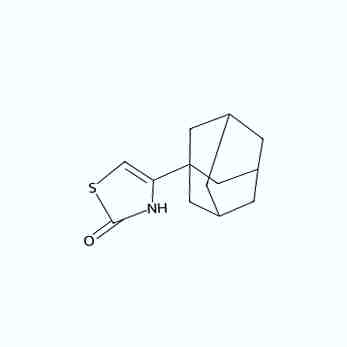 O=c1[nH]c(C23CC4CC(CC(C4)C2)C3)cs1